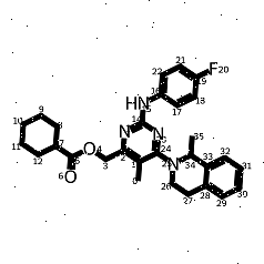 Cc1c(COC(=O)C2CCCCC2)nc(Nc2ccc(F)cc2)nc1N1CCc2ccccc2C1C